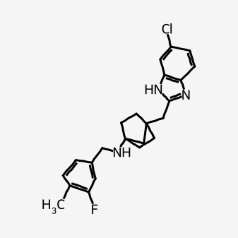 Cc1ccc(CNC23CCC(Cc4nc5ccc(Cl)cc5[nH]4)(CC2)C3)cc1F